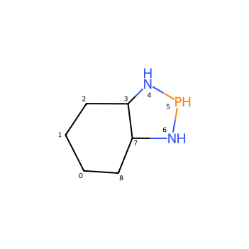 C1CCC2NPNC2C1